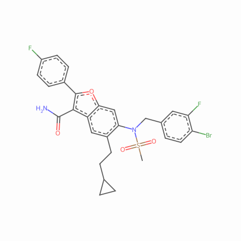 CS(=O)(=O)N(Cc1ccc(Br)c(F)c1)c1cc2oc(-c3ccc(F)cc3)c(C(N)=O)c2cc1CCC1CC1